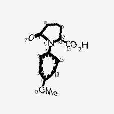 COc1ccc(N2C(=O)CC[C@H]2C(=O)O)cc1